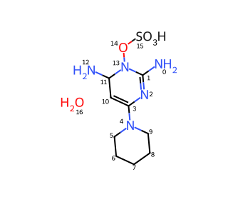 NC1=NC(N2CCCCC2)=CC(N)N1OS(=O)(=O)O.O